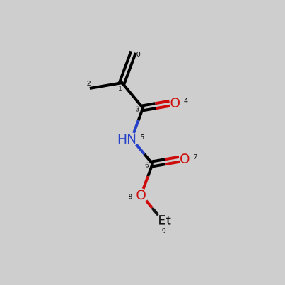 C=C(C)C(=O)NC(=O)OCC